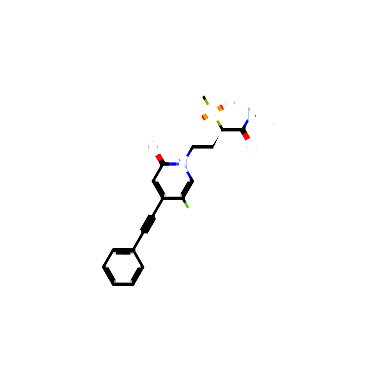 CS(=O)(=O)[C@H](CCn1cc(F)c(C#Cc2ccccc2)cc1=O)C(N)=O